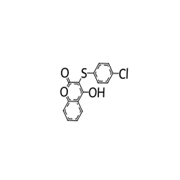 O=c1oc2ccccc2c(O)c1Sc1ccc(Cl)cc1